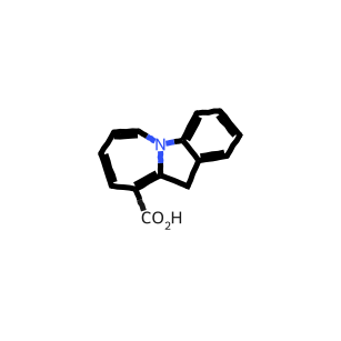 O=C(O)C1=C2Cc3ccccc3N2C=CC=C1